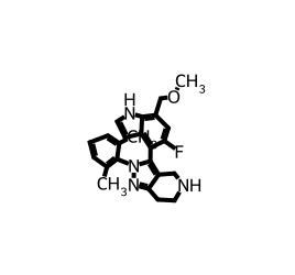 COCc1cc(F)c(-c2c3c(nn2-c2c(C)cccc2C)CCNC3)c2cc[nH]c12